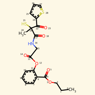 CCCOC(=O)c1ccccc1OC(=O)CNC(=O)C(C)(S)C(=O)c1cccs1